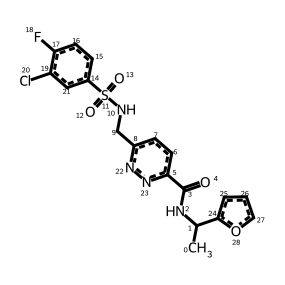 CC(NC(=O)c1ccc(CNS(=O)(=O)c2ccc(F)c(Cl)c2)nn1)c1ccco1